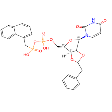 O=c1ccn([C@@H]2O[C@H](COP(=O)(O)OP(=O)(O)Cc3cccc4ccccc34)[C@@H]3OC(Cc4ccccc4)OC32)c(=O)[nH]1